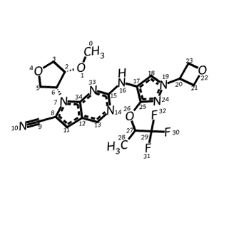 CO[C@H]1COC[C@H]1n1c(C#N)cc2cnc(Nc3cn(C4COC4)nc3OC(C)C(F)(F)F)nc21